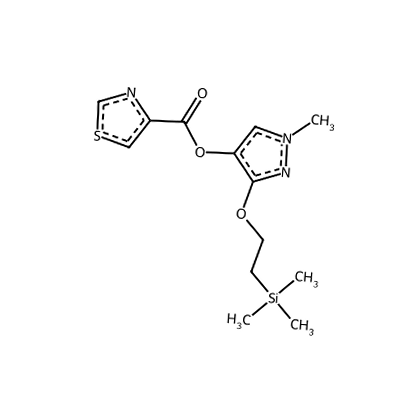 Cn1cc(OC(=O)c2cscn2)c(OCC[Si](C)(C)C)n1